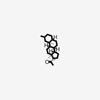 CC(=O)[C@H]1CC[C@H]2[C@@H]3CC[C@H]4CCC(C)C[C@]4(C)[C@H]3CC[C@]12C